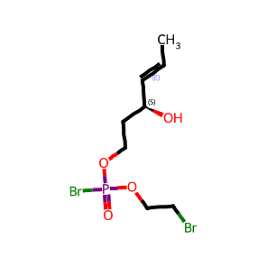 C/C=C/[C@@H](O)CCOP(=O)(Br)OCCBr